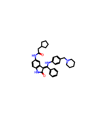 O=C(CC1CCCC1)Nc1ccc2c(c1)C(=C(Nc1ccc(CN3CCCCC3)cc1)c1ccccc1)C(=O)N2